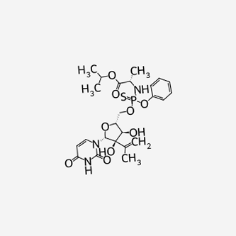 C=C(C)[C@@]1(O)[C@H](O)[C@@H](CO[P@](=S)(N[C@@H](C)C(=O)OC(C)C)Oc2ccccc2)O[C@H]1n1ccc(=O)[nH]c1=O